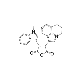 Cn1cc(C2=C(c3cn4c5c(cccc35)CCC4)C(=O)OC2=O)c2ccccc21